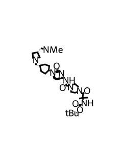 CNC[C@H]1CCN(C[C@H]2CC[C@H](n3ccc(NC(=O)N4CCN(C(=O)C(C)(C)NC(=O)OC(C)(C)C)CC4)nc3=O)CC2)C1